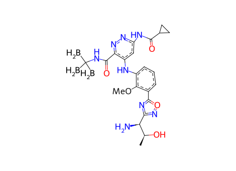 BC(B)(B)NC(=O)c1nnc(NC(=O)C2CC2)cc1Nc1cccc(-c2nc([C@H](N)[C@H](C)O)no2)c1OC